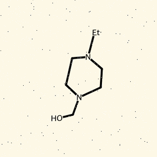 C[CH]N1CCN(CO)CC1